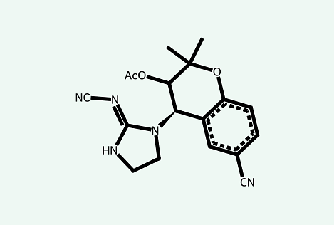 CC(=O)OC1[C@H](N2CCNC2=NC#N)c2cc(C#N)ccc2OC1(C)C